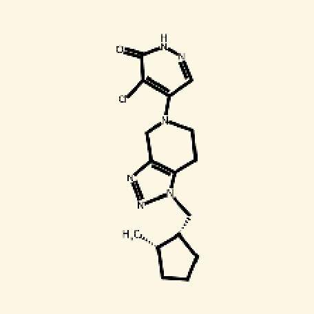 C[C@H]1CCC[C@H]1Cn1nnc2c1CCN(c1cn[nH]c(=O)c1Cl)C2